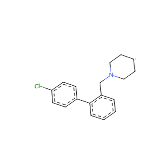 Clc1ccc(-c2ccccc2CN2CC[CH]CC2)cc1